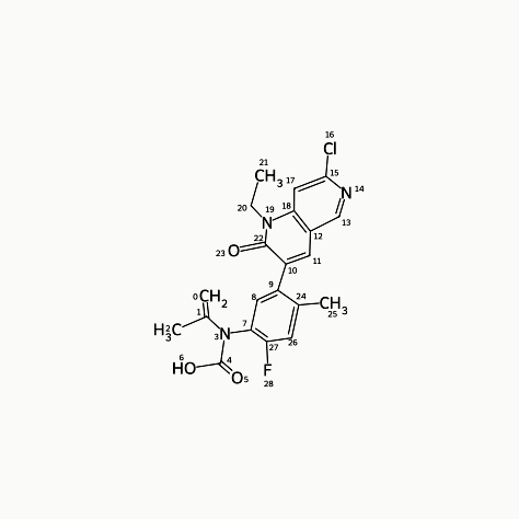 C=C(C)N(C(=O)O)c1cc(-c2cc3cnc(Cl)cc3n(CC)c2=O)c(C)cc1F